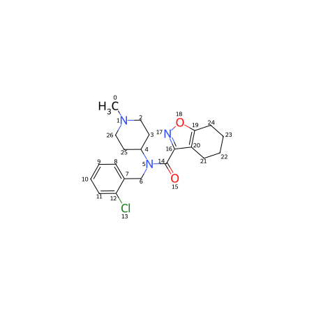 CN1CCC(N(Cc2ccccc2Cl)C(=O)c2noc3c2CCCC3)CC1